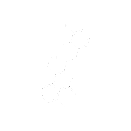 Cc1cccc2c1c(=O)nc(CCc1cccc(F)c1F)n2CC(=O)O